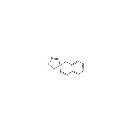 [C]1=NOCC12C=Cc1ccccc1C2